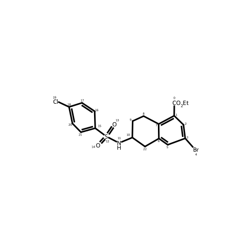 CCOC(=O)c1cc(Br)cc2c1CCC(NS(=O)(=O)c1ccc(Cl)cc1)C2